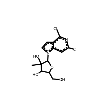 CC1(O)C(O)C(CO)OC1n1ccc2c(Cl)nc(Cl)cc21